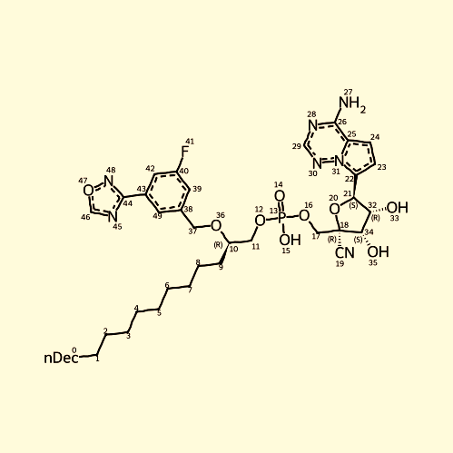 CCCCCCCCCCCCCCCCCCC[C@H](COP(=O)(O)OC[C@@]1(C#N)O[C@@H](c2ccc3c(N)ncnn23)[C@H](O)[C@@H]1O)OCc1cc(F)cc(-c2ncon2)c1